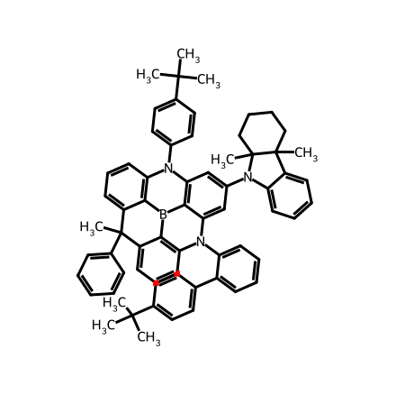 CC(C)(C)c1ccc(-c2ccccc2N2c3cc(N4c5ccccc5C5(C)CCCCC45C)cc4c3B3c5c(cccc5C(C)(c5ccccc5)c5cccc2c53)N4c2ccc(C(C)(C)C)cc2)cc1